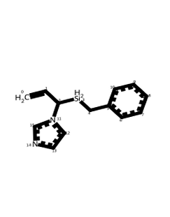 C=CC([SiH2]Cc1ccccc1)n1ccnc1